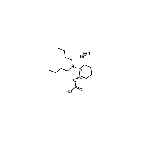 CCCCN(CCCC)[C@@H]1CCCC[C@H]1OC(=O)O.Cl.Cl